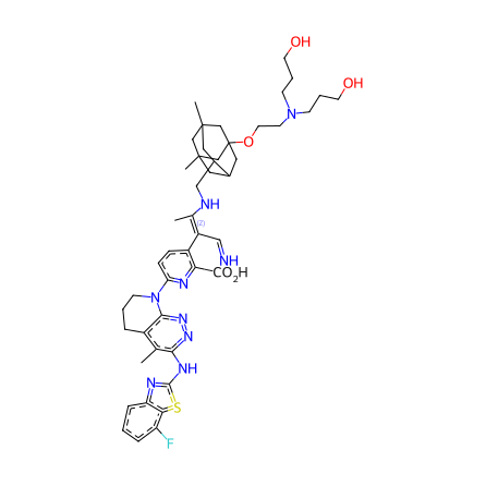 C/C(NCC1CC2(C)CC3(C)CC1CC(OCCN(CCCO)CCCO)(C2)C3)=C(/C=N)c1ccc(N2CCCc3c2nnc(Nc2nc4cccc(F)c4s2)c3C)nc1C(=O)O